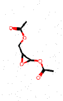 CC(=O)OCC1OC1OC(C)=O